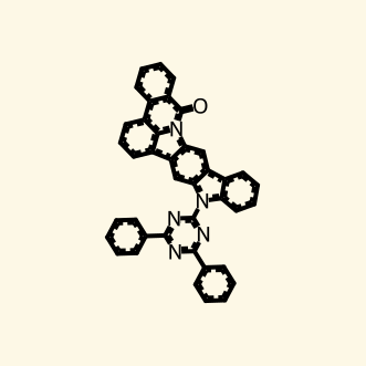 O=c1c2ccccc2c2cccc3c4cc5c(cc4n1c23)c1ccccc1n5-c1nc(-c2ccccc2)nc(-c2ccccc2)n1